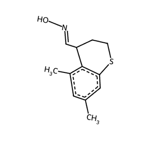 Cc1cc(C)c2c(c1)SCCC2C=NO